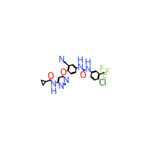 N#Cc1cc(NC(=O)Nc2ccc(Cl)c(C(F)(F)F)c2)ccc1Oc1cc(NC(=O)C2CC2)ncn1